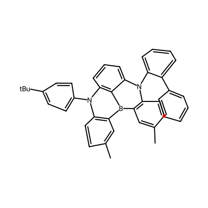 Cc1ccc2c(c1)B1c3cc(C)ccc3N(c3ccccc3-c3ccccc3)c3cccc(c31)N2c1ccc(C(C)(C)C)cc1